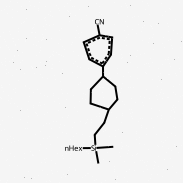 CCCCCC[Si](C)(C)CCC1CCC(c2ccc(C#N)cc2)CC1